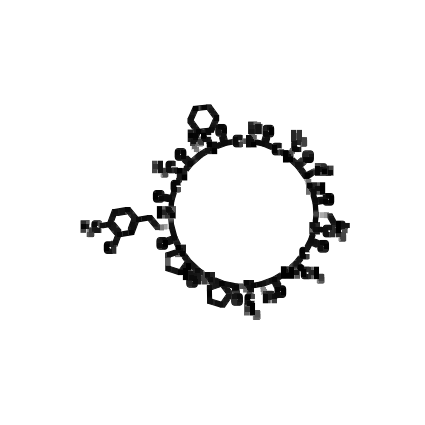 CC[C@H](C)[C@@H]1NC(=O)[C@H](CC(C)C)N(C)C(=O)C[C@@H](C)NC(=O)[C@H](C(C)C)N(C)C(=O)C2(CCCC2)NC(=O)[C@@H]2CCCN2C(=O)[C@H](CCc2ccc(C(F)(F)F)c(Cl)c2)NC(=O)CN(C)C(=O)[C@H](CC2CCCCC2)N(C)C(=O)CN(CC)C(=O)CN(C)C1=O